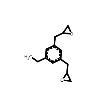 [CH2]Cc1cc(CC2CO2)cc(CC2CO2)c1